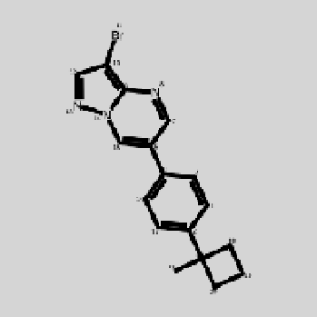 CC1(c2ccc(-c3cnc4c(Br)cnn4c3)cc2)CCC1